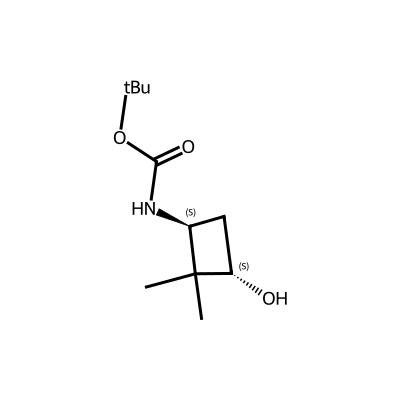 CC(C)(C)OC(=O)N[C@H]1C[C@H](O)C1(C)C